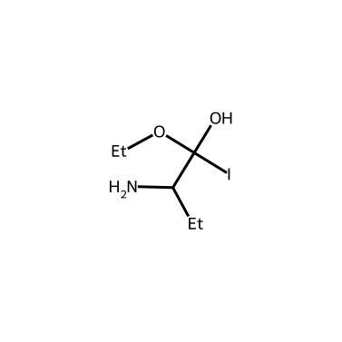 CCOC(O)(I)C(N)CC